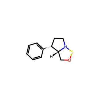 c1ccc([C@@H]2CCN3SOC[C@H]23)cc1